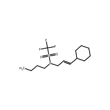 CCCCN(CC=CC1CCCCC1)S(=O)(=O)C(F)(F)F